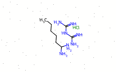 CCCCCC(N)N.Cl.N=C(N)NC(=N)N